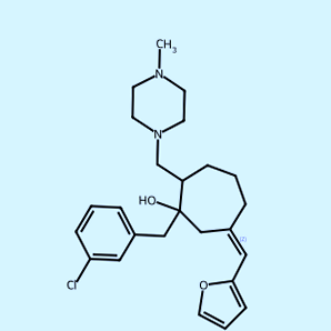 CN1CCN(CC2CCC/C(=C/c3ccco3)CC2(O)Cc2cccc(Cl)c2)CC1